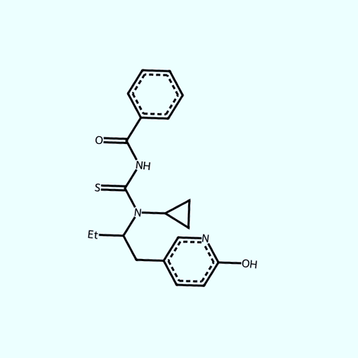 CCC(Cc1ccc(O)nc1)N(C(=S)NC(=O)c1ccccc1)C1CC1